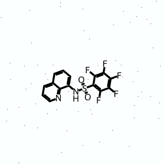 O=S(=O)(Nc1cccc2cccnc12)c1c(F)c(F)c(F)c(F)c1F